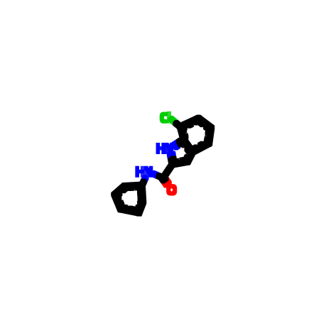 O=C(Nc1ccccc1)c1cc2cccc(Cl)c2[nH]1